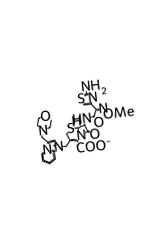 CO/N=C(\C(=O)N[C@@H]1C(=O)N2C(C(=O)[O-])=C(Cn3cc(CN4CCOCC4)[n+]4ccccc34)CS[C@@H]12)c1csc(N)n1